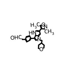 Cc1noc(C)c1C1=CNC2C(c3ccc(CC=O)cc3)=CN(CC3CCOCC3)C2=C1